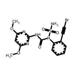 COc1cc(OC)nc(NC(=O)N(c2ccccc2C#CBr)S(N)(=O)=O)n1